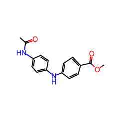 COC(=O)c1ccc(Nc2ccc(NC(C)=O)cc2)cc1